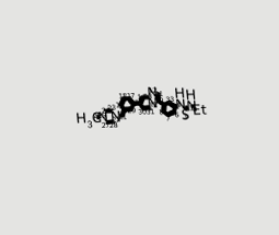 CCNC(=S)Nc1cccc(-c2cnc3cc(-c4cccc(CN5CCN(C)CC5)c4)ccn23)c1